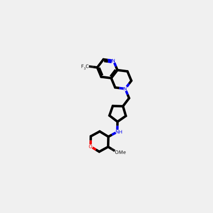 COC1COCCC1NC1CCC(CN2CCc3ncc(C(F)(F)F)cc3C2)C1